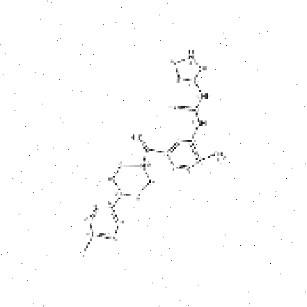 C=C(c1ccc(C)c(NC(=O)NC2CCNC2)c1)N1CCC(c2ccc(F)cc2)CC1